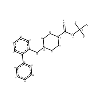 CC(C)(C)OC(=O)N1CCN(Cc2ccccc2-c2ccccc2)CC1